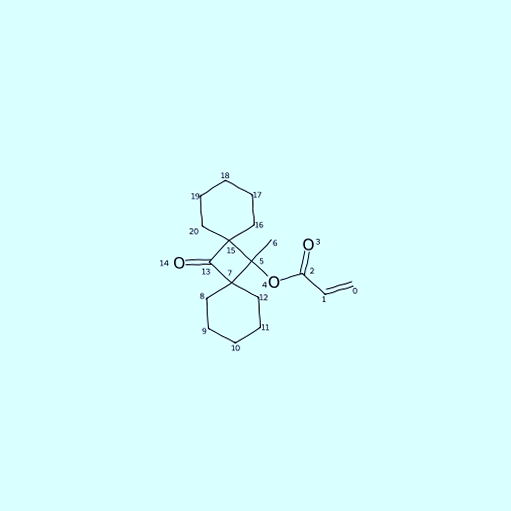 C=CC(=O)OC1(C)C2(CCCCC2)C(=O)C12CCCCC2